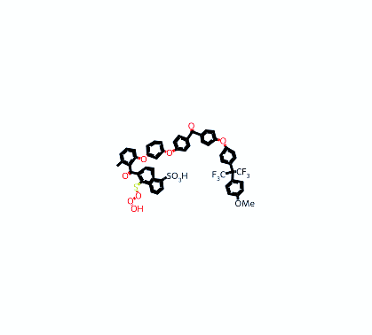 COc1ccc(C(c2ccc(Oc3ccc(C(=O)c4ccc(Oc5cccc(Oc6cccc(C)c6C(=O)c6ccc7c(S(=O)(=O)O)cccc7c6SOOO)c5)cc4)cc3)cc2)(C(F)(F)F)C(F)(F)F)cc1